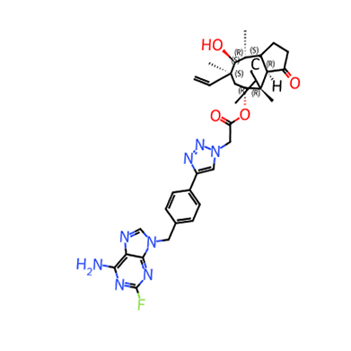 C=C[C@]1(C)C[C@@H](OC(=O)Cn2cc(-c3ccc(Cn4cnc5c(N)nc(F)nc54)cc3)nn2)[C@]2(C)C(C)CC[C@]3(CCC(=O)[C@H]32)[C@@H](C)[C@@H]1O